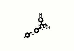 Cc1ccc(COc2ccc(-c3nc(C4=CCNCC4)c4cc[nH]c4n3)cc2)cc1